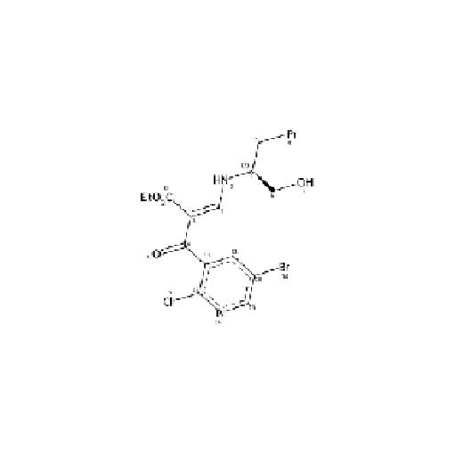 CCOC(=O)C(=CN[C@H](CO)CC(C)C)C(=O)c1cc(Br)cnc1Cl